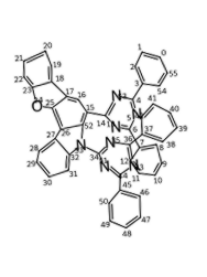 c1ccc(-c2nc(-c3ccccc3)nc(-c3cc4c5ccccc5oc4c4c5ccccc5n(-c5nc(-c6ccccc6)nc(-c6ccccc6)n5)c34)n2)cc1